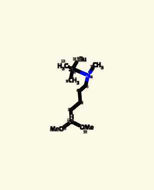 CO[SiH](CCCCN(C)[Si](C)(C)C(C)(C)C)OC